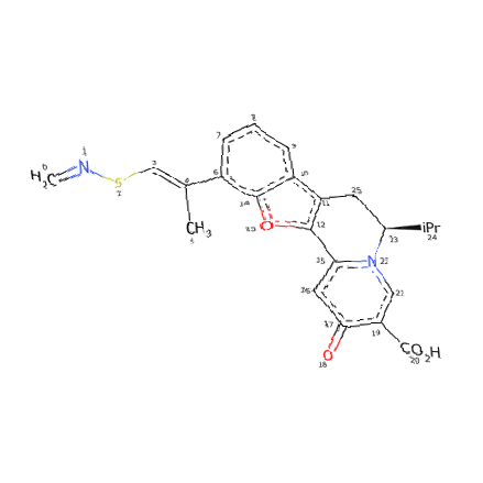 C=NS/C=C(\C)c1cccc2c3c(oc12)-c1cc(=O)c(C(=O)O)cn1[C@H](C(C)C)C3